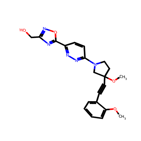 COc1ccccc1C#CC1(OC)CCN(c2ccc(-c3nc(CO)no3)nn2)C1